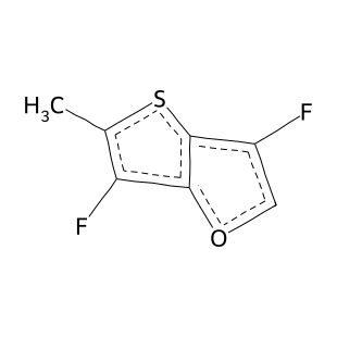 Cc1sc2c(F)coc2c1F